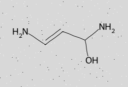 NC=CC(N)O